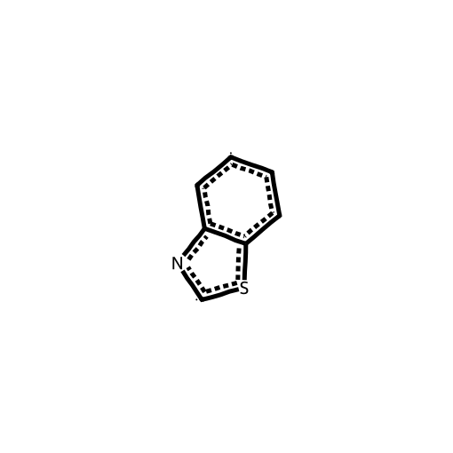 [c]1ccc2s[c]nc2c1